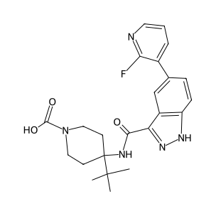 CC(C)(C)C1(NC(=O)c2n[nH]c3ccc(-c4cccnc4F)cc23)CCN(C(=O)O)CC1